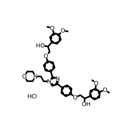 COc1ccc(C(O)COc2ccc(-c3cn(CCN4CCOCC4)c(-c4ccc(OCC(O)c5ccc(OC)c(OC)c5)cc4)n3)cc2)cc1OC.Cl